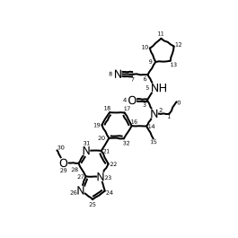 CCN(C(=O)NC(C#N)C1CCCC1)C(C)c1cccc(-c2cn3ccnc3c(OC)n2)c1